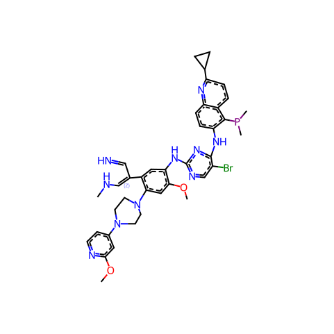 CN/C=C(\C=N)c1cc(Nc2ncc(Br)c(Nc3ccc4nc(C5CC5)ccc4c3P(C)C)n2)c(OC)cc1N1CCN(c2ccnc(OC)c2)CC1